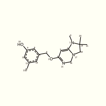 CN1C2=CC(OCc3cc(O)cc(F)c3)=NCN2CC1(C)C